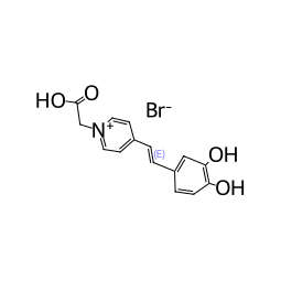 O=C(O)C[n+]1ccc(/C=C/c2ccc(O)c(O)c2)cc1.[Br-]